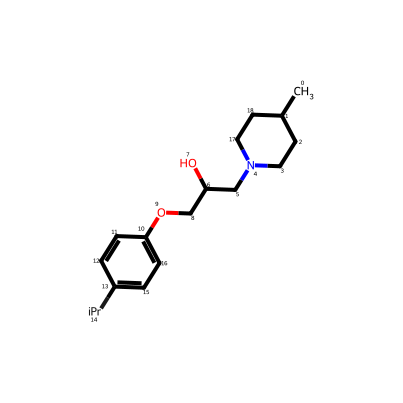 CC1CCN(CC(O)COc2ccc(C(C)C)cc2)CC1